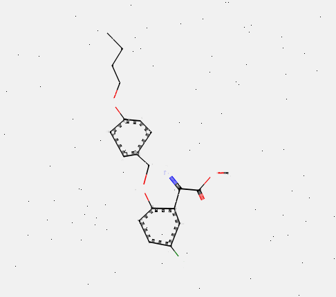 CCCCOc1ccc(COc2ccc(Br)cc2C(=N)C(=O)OC)cc1